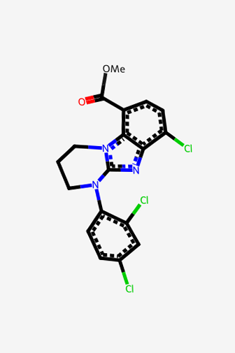 COC(=O)c1ccc(Cl)c2nc3n(c12)CCCN3c1ccc(Cl)cc1Cl